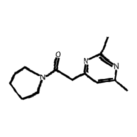 Cc1cc(CC(=O)N2CCCCC2)nc(C)n1